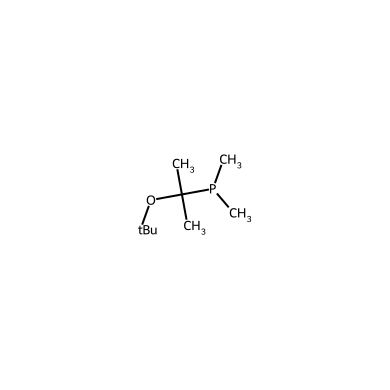 CP(C)C(C)(C)OC(C)(C)C